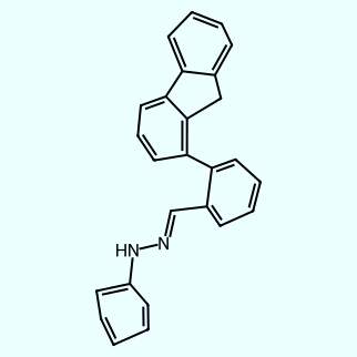 C(=NNc1ccccc1)c1ccccc1-c1cccc2c1Cc1ccccc1-2